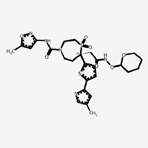 Cc1csc(-c2ccc([C@@]3(CC(=O)NOC4CCCCO4)CCN(C(=O)Nc4cc(C)on4)CCS3(=O)=O)s2)c1